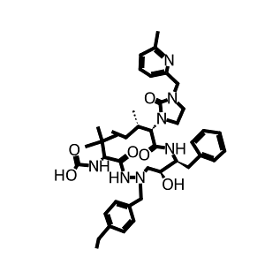 CCc1ccc(CN(C[C@H](O)[C@H](Cc2ccccc2)NC(=O)[C@H]([C@@H](C)CC)N2CCN(Cc3cccc(C)n3)C2=O)NC(=O)[C@@H](NC(=O)O)C(C)(C)C)cc1